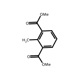 [CH2]c1c(C(=O)OC)cccc1C(=O)OC